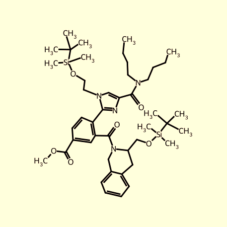 CCCCN(CCCC)C(=O)c1cn(CCO[Si](C)(C)C(C)(C)C)c(-c2ccc(C(=O)OC)cc2C(=O)N2Cc3ccccc3CC2CO[Si](C)(C)C(C)(C)C)n1